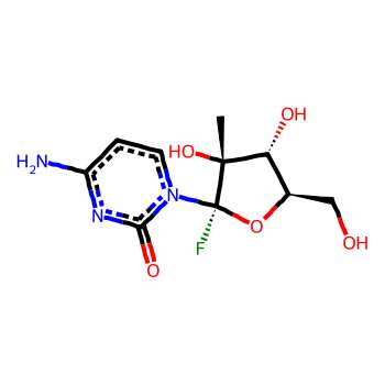 C[C@@]1(O)[C@H](O)[C@@H](CO)O[C@@]1(F)n1ccc(N)nc1=O